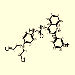 O=C(Nc1ccc(N(CCCl)CCCl)cc1)Nc1cc(-c2cccc(F)c2)nc2ccccc12